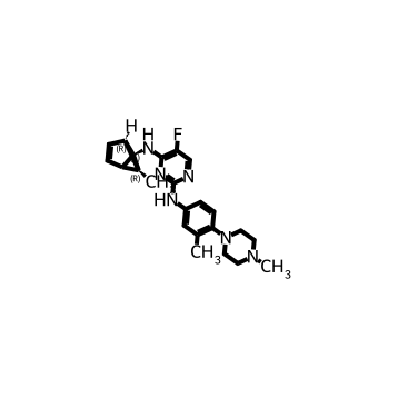 Cc1cc(Nc2ncc(F)c(N[C@@]34C5C=C[C@@H]3[C@@]54C)n2)ccc1N1CCN(C)CC1